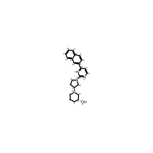 O[C@@H]1CCCN([C@H]2CCN(c3nccc(-c4ccc5ccccc5c4)n3)C2)C1